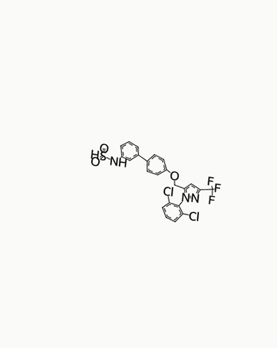 O=[SH](=O)Nc1cccc(-c2ccc(OCc3cc(C(F)(F)F)nn3-c3c(Cl)cccc3Cl)cc2)c1